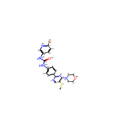 CSc1cnc(-c2ccc(NC(=O)Nc3ccc(Br)nc3)cc2)nc1N1CCOCC1